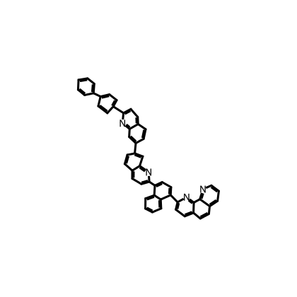 c1ccc(-c2ccc(-c3ccc4ccc(-c5ccc6ccc(-c7ccc(-c8ccc9ccc%10cccnc%10c9n8)c8ccccc78)nc6c5)cc4n3)cc2)cc1